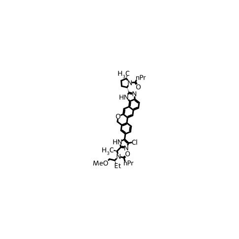 CCCC(=O)N([C@H](CC)COC)[C@@H](C)c1nc(Cl)c(-c2ccc3c(c2)COc2cc4c(ccc5nc([C@@H]6CC[C@H](C)N6C(=O)CCC)[nH]c54)cc2-3)[nH]1